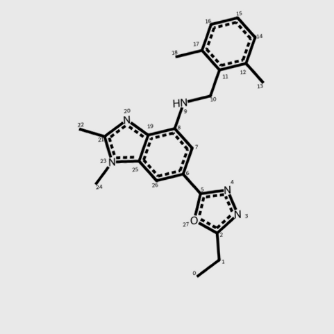 CCc1nnc(-c2cc(NCc3c(C)cccc3C)c3nc(C)n(C)c3c2)o1